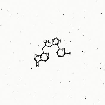 CC(Cc1nccc2[nH]cnc12)Cn1ccnc1-c1cccc(F)n1